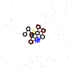 c1ccc(-c2ccccc2-c2c(-c3ccccc3)nnnc2-c2c(-c3ccccc3-c3ccccc3)c(-c3ccccc3-c3ccccc3)c(-c3ccccc3)c3sc4c(-c5ccccc5-c5ccccc5)cccc4c23)cc1